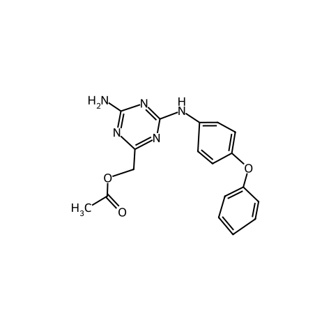 CC(=O)OCc1nc(N)nc(Nc2ccc(Oc3ccccc3)cc2)n1